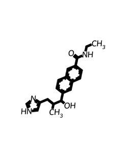 CCNC(=O)c1ccc2cc(C(O)C(C)Cc3c[nH]cn3)ccc2c1